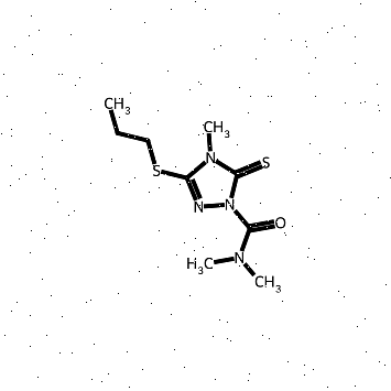 CCCSc1nn(C(=O)N(C)C)c(=S)n1C